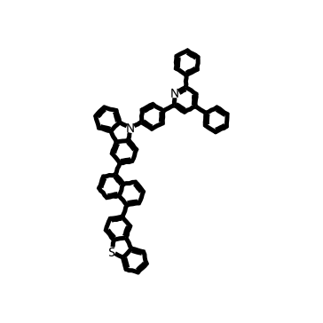 c1ccc(-c2cc(-c3ccccc3)nc(-c3ccc(-n4c5ccccc5c5cc(-c6cccc7c(-c8ccc9sc%10ccccc%10c9c8)cccc67)ccc54)cc3)c2)cc1